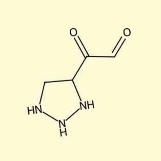 O=CC(=O)C1CNNN1